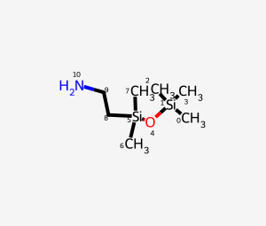 C[Si](C)(C)O[Si](C)(C)CCN